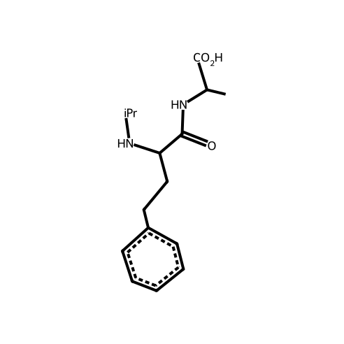 CC(C)NC(CCc1ccccc1)C(=O)NC(C)C(=O)O